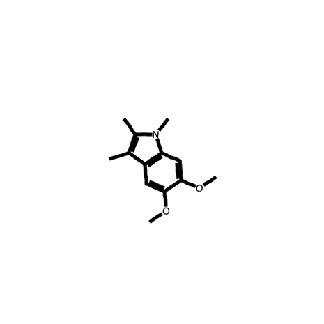 COc1cc2c(C)c(C)n(C)c2cc1OC